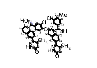 COc1ccc(/C(=N/O)N2CCCc3cc(C4=NNC(=O)SC4C)ccc32)cc1Cl.COc1ccc(C(=N)N2CCCc3cc(C4=NNC(=O)SC4C)ccc32)cc1Cl